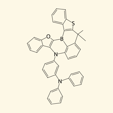 CC1(C)c2cccc3c2B(c2oc4ccccc4c2N3c2cccc(N(c3ccccc3)c3ccccc3)c2)c2c1sc1ccccc21